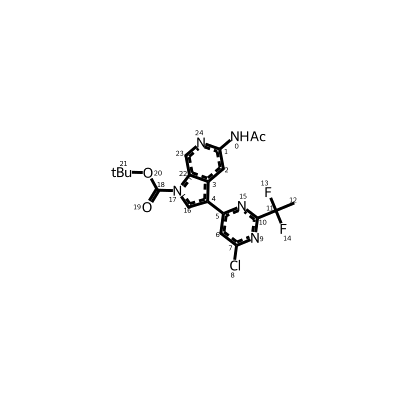 CC(=O)Nc1cc2c(-c3cc(Cl)nc(C(C)(F)F)n3)cn(C(=O)OC(C)(C)C)c2cn1